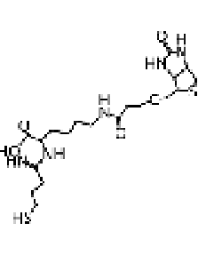 N=C(CCCS)NC(CCCCNC(=O)CCCCC1SCC2NC(=O)NC21)C(=O)O